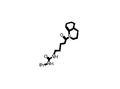 CC(C)NC(=O)NCCCCC(=O)N1CCCC2CCCC=C21